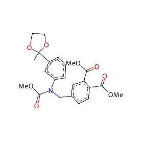 COC(=O)c1ccc(CN(C(=O)OC)c2cccc(C3(C)OCCO3)c2)cc1C(=O)OC